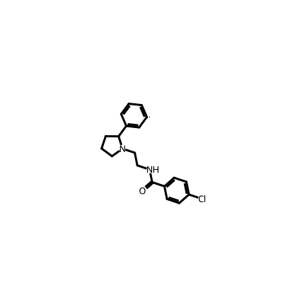 O=C(NCCN1CCCC1c1c[c]ccc1)c1ccc(Cl)cc1